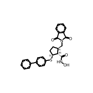 O=C(NO)[C@H]1[C@H](CN2C(=O)c3ccccc3C2=O)CC[C@@H]1Sc1ccc(-c2ccccc2)cc1